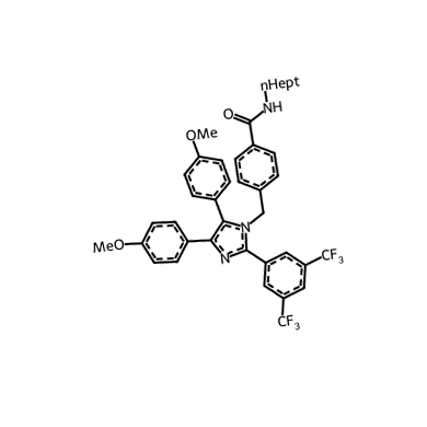 CCCCCCCNC(=O)c1ccc(Cn2c(-c3cc(C(F)(F)F)cc(C(F)(F)F)c3)nc(-c3ccc(OC)cc3)c2-c2ccc(OC)cc2)cc1